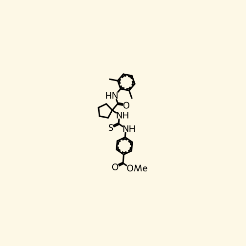 COC(=O)c1ccc(NC(=S)NC2(C(=O)Nc3c(C)cccc3C)CCCC2)cc1